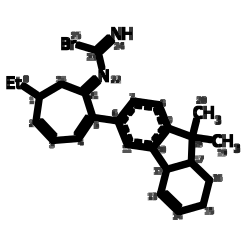 CCC1C=CC=C(c2ccc3c(c2)C2C=CCCC2C3(C)C)/C(=N/C(=N)Br)C1